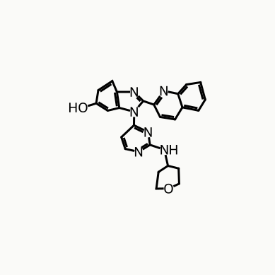 Oc1ccc2nc(-c3ccc4ccccc4n3)n(-c3ccnc(NC4CCOCC4)n3)c2c1